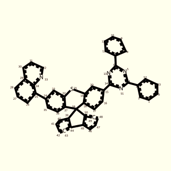 c1ccc(-c2nc(-c3ccccc3)nc(-c3ccc4c(c3)Sc3cc(-c5cccc6cccnc56)ccc3C43c4ccccc4-c4ccccc43)n2)cc1